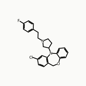 Fc1ccc(CCN2CCC(N3c4cc(Cl)ccc4COc4ccccc43)C2)cc1